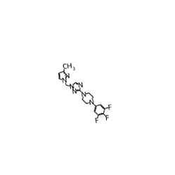 Cc1ccn(Cn2cnc(N3CCN(c4cc(F)c(F)c(F)c4)CC3)n2)n1